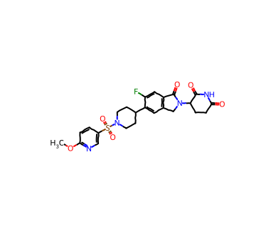 COc1ccc(S(=O)(=O)N2CCC(c3cc4c(cc3F)C(=O)N(C3CCC(=O)NC3=O)C4)CC2)cn1